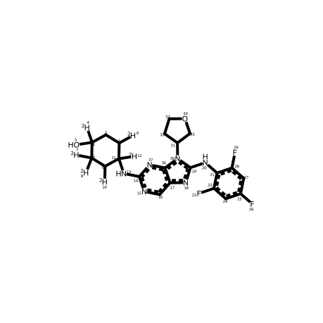 [2H]C1CC([2H])(O)C([2H])([2H])C([2H])C1([2H])Nc1ncc2nc(Nc3c(F)cc(F)cc3F)n(C3CCOC3)c2n1